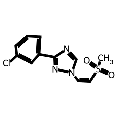 CS(=O)(=O)/C=C\n1cnc(-c2cccc(Cl)c2)n1